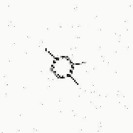 [CH2]c1cnc(F)cc1F